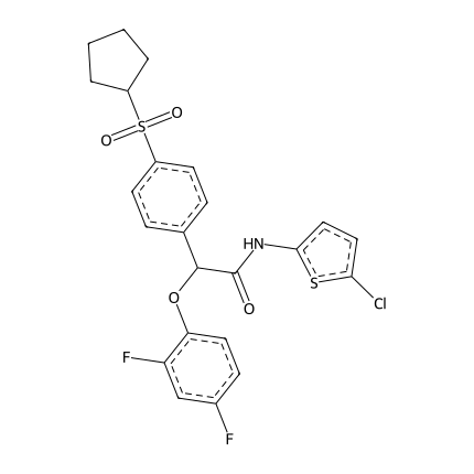 O=C(Nc1ccc(Cl)s1)C(Oc1ccc(F)cc1F)c1ccc(S(=O)(=O)C2CCCC2)cc1